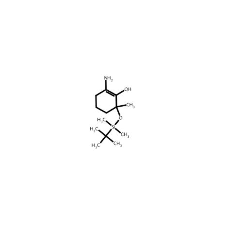 CC1(O[Si](C)(C)C(C)(C)C)CCCC(N)=C1O